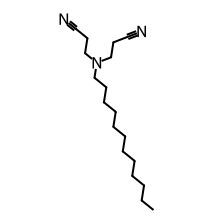 CCCCCCCCCCCCN(CCC#N)CCC#N